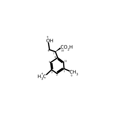 Cc1cc(C)cc([C@@H](CO)C(=O)O)c1